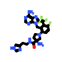 Nc1ncnc2c1ncn2Cc1c(N2CCC(N)(C(=O)NCCc3c[nH]cn3)C2)ccc(F)c1C(F)(F)F